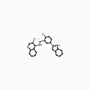 C[C@@H](Nc1c(Cl)cnc2ccccc12)c1cc(-c2cc3ccccc3[nH]2)ccc1F